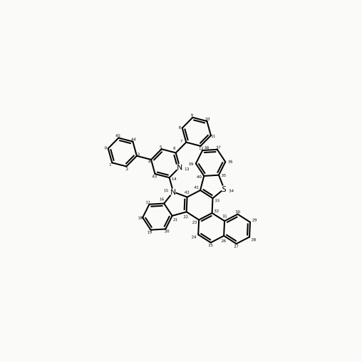 c1ccc(-c2cc(-c3ccccc3)nc(-n3c4ccccc4c4c5ccc6ccccc6c5c5sc6ccccc6c5c43)c2)cc1